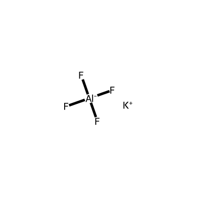 [F][Al-]([F])([F])[F].[K+]